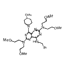 COCCN(CCOC)c1nc(N2CCC(OC)CC2)c2nc(N(CCOC)CCOC)nc(NCC(C)C)c2n1